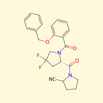 N#CC1CCCN1C(=O)[C@@H]1CC(F)(F)CN1C(=O)c1ccccc1OCc1ccccc1